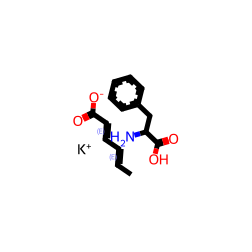 C/C=C/C=C/C(=O)[O-].NC(Cc1ccccc1)C(=O)O.[K+]